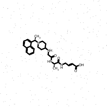 C[C@H](c1cccc2ccccc12)N1CCC(NCC(=O)N[C@H](C)C(=O)NC/C=C/C(=O)O)CC1